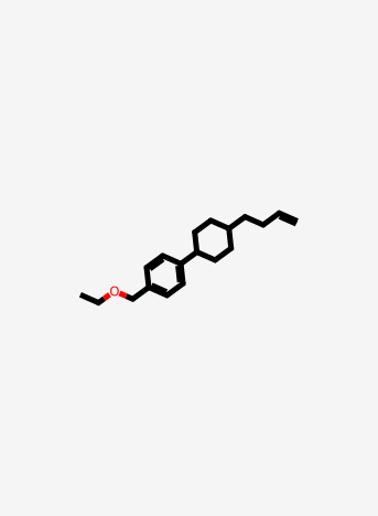 C=CCCC1CCC(c2ccc(COCC)cc2)CC1